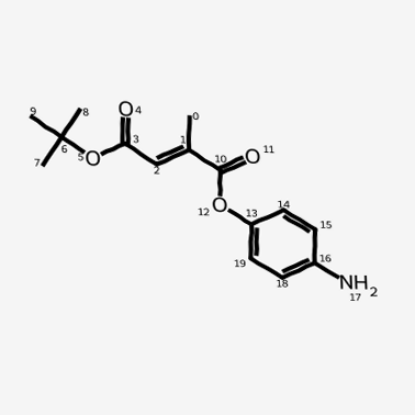 CC(=CC(=O)OC(C)(C)C)C(=O)Oc1ccc(N)cc1